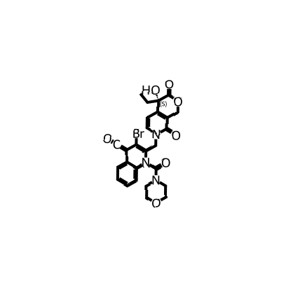 CC[C@@]1(O)C(=O)OCc2c1ccn(CC1=C(Br)C(=C=O)c3ccccc3N1C(=O)N1CCOCC1)c2=O